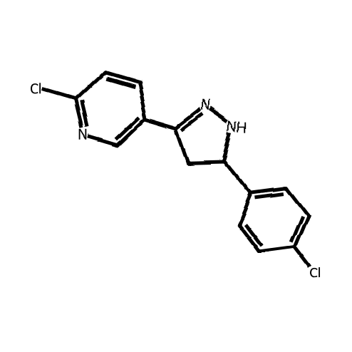 Clc1ccc(C2CC(c3ccc(Cl)nc3)=NN2)cc1